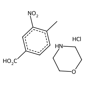 C1COCCN1.Cc1ccc(C(=O)O)cc1[N+](=O)[O-].Cl